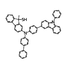 CC1(S)c2ccccc2-c2ccc(N(c3ccc(-c4ccccc4)cc3)c3ccc(-c4ccc5c(c4)c4ccccc4n5-c4ccccc4)cc3)cc21